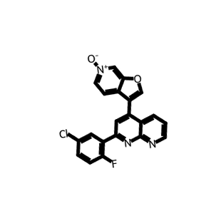 [O-][n+]1ccc2c(-c3cc(-c4cc(Cl)ccc4F)nc4ncccc34)coc2c1